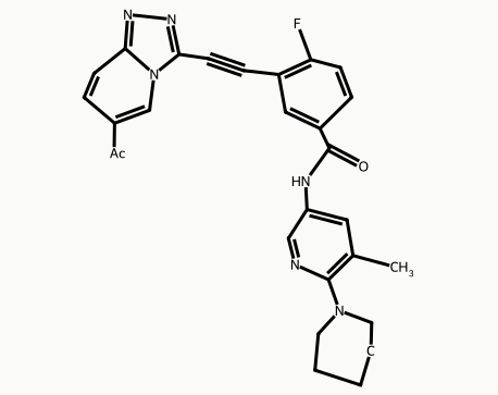 CC(=O)c1ccc2nnc(C#Cc3cc(C(=O)Nc4cnc(N5CCCCC5)c(C)c4)ccc3F)n2c1